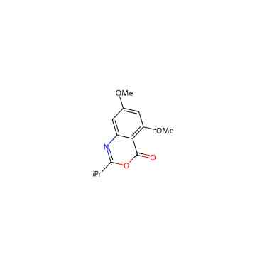 COc1cc(OC)c2c(=O)oc(C(C)C)nc2c1